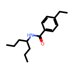 CCCC(CCC)NC(=O)c1ccc(CC)cc1